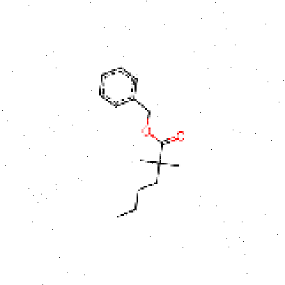 CCCCC(C)(C)C(=O)OCc1ccccc1